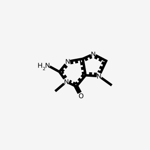 Cn1c(N)nc2ncn(C)c2c1=O